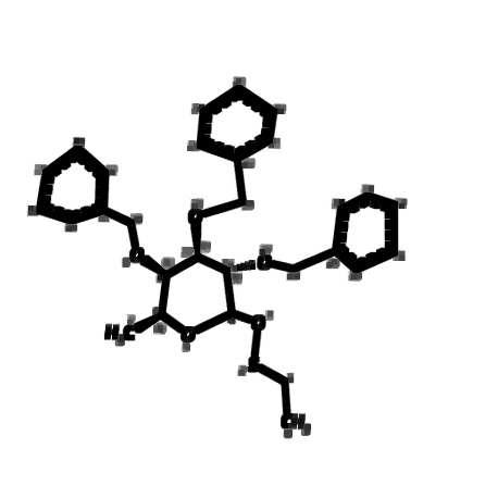 CCSOC1O[C@@H](C)[C@@H](OCc2ccccc2)[C@@H](OCc2ccccc2)[C@@H]1OCc1ccccc1